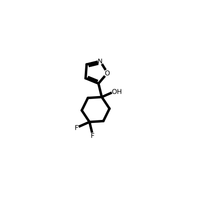 OC1(c2ccno2)CCC(F)(F)CC1